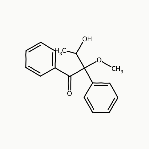 COC(C(=O)c1ccccc1)(c1ccccc1)C(C)O